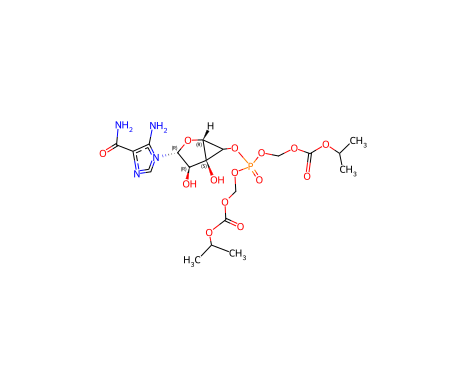 CC(C)OC(=O)OCOP(=O)(OCOC(=O)OC(C)C)OC1[C@H]2O[C@@H](n3cnc(C(N)=O)c3N)[C@H](O)[C@@]12O